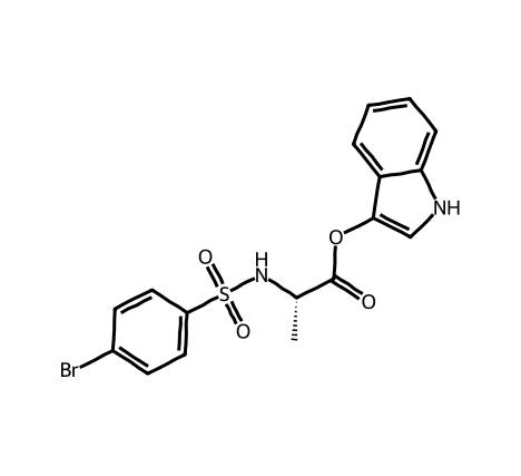 C[C@H](NS(=O)(=O)c1ccc(Br)cc1)C(=O)Oc1c[nH]c2ccccc12